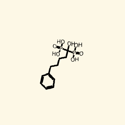 O=P(O)(O)C(O)(CCCCc1ccccc1)P(=O)(O)O